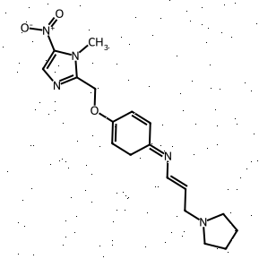 Cn1c([N+](=O)[O-])cnc1COC1=CCC(=NC=CCN2CCCC2)C=C1